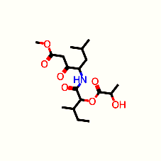 CCC(C)C(OC(=O)C(C)O)C(=O)NC(CC(C)C)C(=O)CC(=O)OC